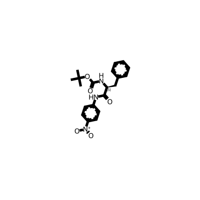 CC(C)(C)OC(=O)N[C@@H](Cc1ccccc1)C(=O)Nc1ccc([N+](=O)[O-])cc1